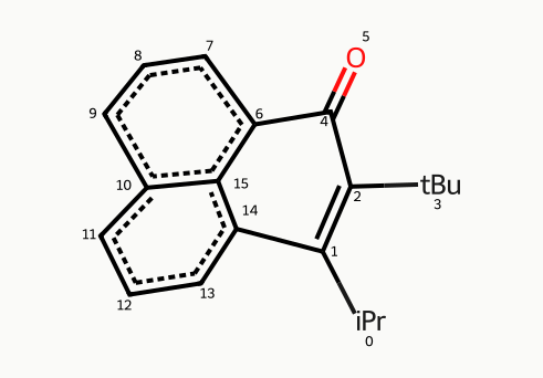 CC(C)C1=C(C(C)(C)C)C(=O)c2cccc3cccc1c23